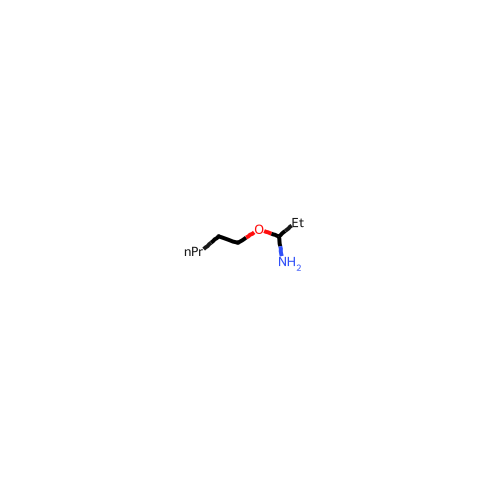 CCCCCOC(N)CC